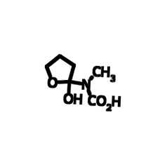 CN(C(=O)O)C1(O)CCCO1